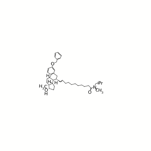 CC(C)CN(C)C(=O)CCCCCCCC/C=C/[C@@H]1Cc2cc(OCc3ccccc3)ccc2[C@H]2CC[C@]3(C)[C@@H](O)CC[C@H]3[C@H]12